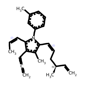 C=C=Cc1c(C)c(/C=C\C[C@H](C)C=C)n(-c2cccc(C)c2)c1/C=C\C